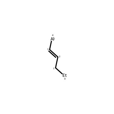 CCCC=[CH][Al]